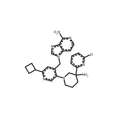 Nc1nccc2c1ncn2Cc1cc(C2CCC2)ncc1N1CCCC(N)(c2cccc(Cl)n2)C1